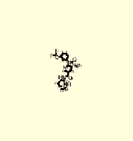 CC(C)n1c(=O)n(-c2cccc(OC(F)F)c2)c2ncc(C(=O)N[C@]3(C)CC=CS(=O)(=O)N3)cc21